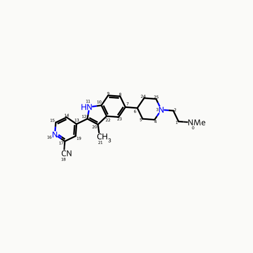 CNCCN1CCC(c2ccc3[nH]c(-c4ccnc(C#N)c4)c(C)c3c2)CC1